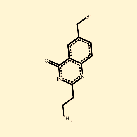 CCCc1nc2ccc(CBr)cc2c(=O)[nH]1